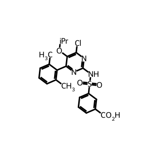 Cc1cccc(C)c1-c1nc(NS(=O)(=O)c2cccc(C(=O)O)c2)nc(Cl)c1OC(C)C